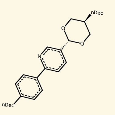 CCCCCCCCCCc1ccc(-c2ccc([C@H]3OC[C@H](CCCCCCCCCC)CO3)cn2)cc1